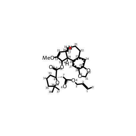 C/C=C/COC(=O)C[C@@]1(C(=O)OC2C(OC)=CC34CCCN3CCc3cc5c(cc3[C@H]24)OCO5)CCCC(C)(C)O1